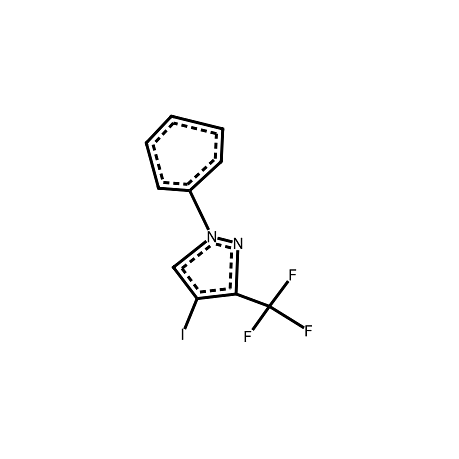 FC(F)(F)c1nn(-c2ccccc2)cc1I